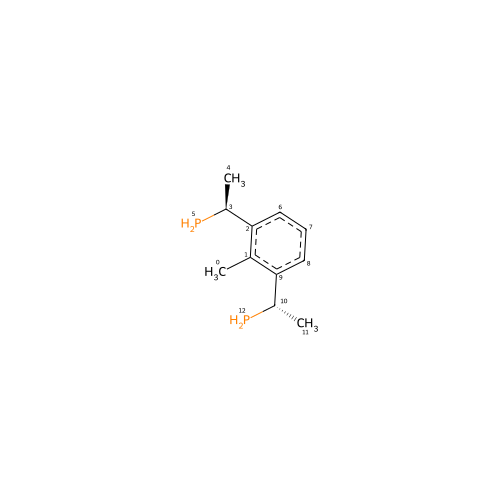 Cc1c([C@H](C)P)cccc1[C@H](C)P